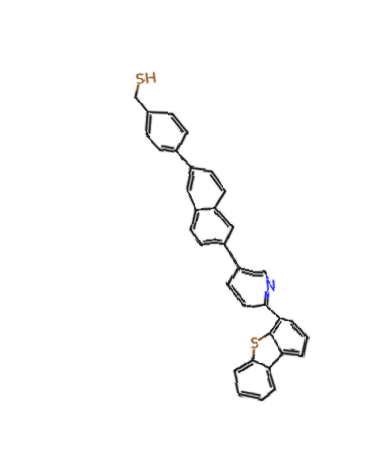 SCc1ccc(-c2ccc3cc(-c4ccc(-c5cccc6c5sc5ccccc56)nc4)ccc3c2)cc1